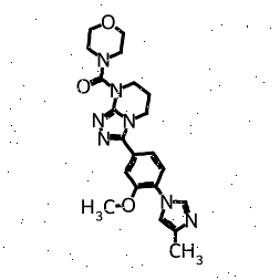 COc1cc(-c2nnc3n2CCCN3C(=O)N2CCOCC2)ccc1-n1cnc(C)c1